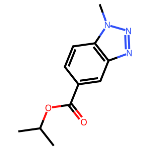 CC(C)OC(=O)c1ccc2c(c1)nnn2C